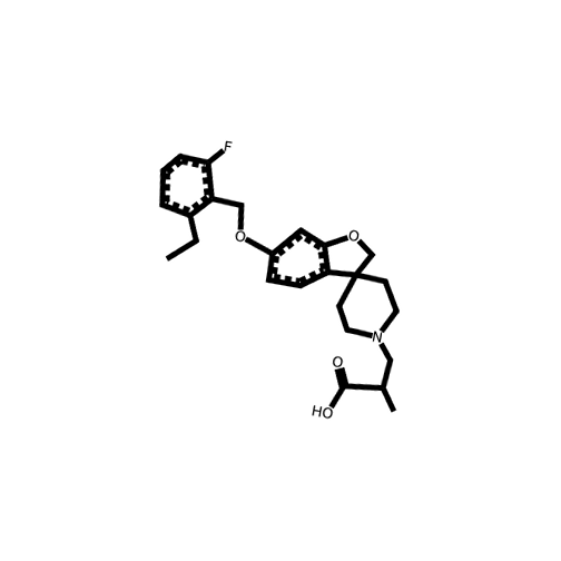 CCc1cccc(F)c1COc1ccc2c(c1)OCC21CCN(CC(C)C(=O)O)CC1